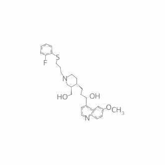 COc1ccc2nccc([C@@H](O)CC[C@@H]3CCN(CCCSc4ccccc4F)C[C@@H]3CO)c2c1